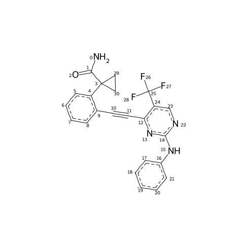 NC(=O)C1(c2ccccc2C#Cc2nc(Nc3cc[c]cc3)ncc2C(F)(F)F)CC1